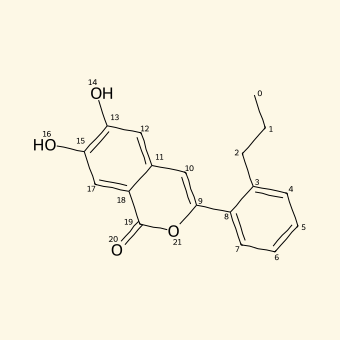 CCCc1ccccc1-c1cc2cc(O)c(O)cc2c(=O)o1